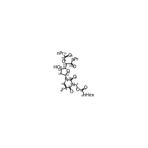 CCCCCCC(=O)OCn1c(=O)c(F)cn([C@H]2C[C@H](O)[C@@H](C(OC(=O)CCC)C(=O)CCC)O2)c1=O